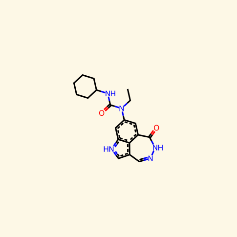 CCN(C(=O)NC1CCCCC1)c1cc2c3c(c[nH]c3c1)C=NNC2=O